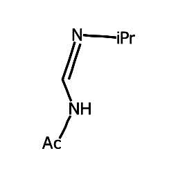 CC(=O)N/C=N\C(C)C